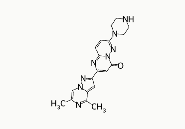 Cc1cn2nc(-c3cc(=O)n4nc(N5CCNCC5)ccc4n3)cc2c(C)n1